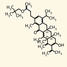 C=C(CCc1cc(C(C)C)c2c(c1C)C(=O)C1=C(C)[C@@]3(C)C(=C)C(C(=C)C)=C(O)C[C@@]3(C)C[C@@]1(C)C2)OCC(C)(C)C